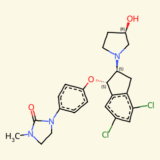 CN1CCN(c2ccc(O[C@H]3c4cc(Cl)cc(Cl)c4C[C@@H]3N3CC[C@@H](O)C3)cc2)C1=O